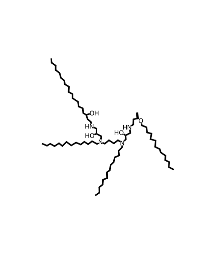 C=C(CCNCC(O)CN(CCCCCCCCCCCCCC)CCCCN(CCCCCCCCCCCCCC)CC(O)CNCCC(O)CCCCCCCCCCCCCCCC)OCCCCCCCCCCCCCC